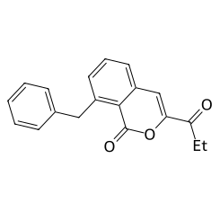 CCC(=O)c1cc2cccc(Cc3ccccc3)c2c(=O)o1